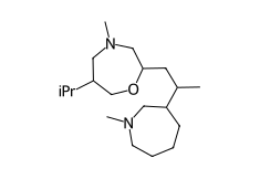 CC(C)C1COC(CC(C)C2CCCCN(C)C2)CN(C)C1